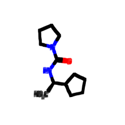 O=C(O)[C@@H](NC(=O)N1CCCC1)C1CCCC1